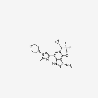 Cn1nc(-c2cn(C(C3CC3)C(F)(F)F)c(=O)c3c(N)n[nH]c23)cc1N1CCOCC1